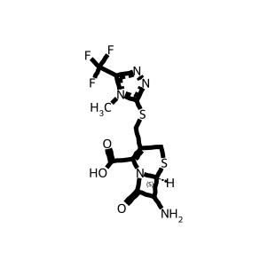 Cn1c(SCC2=C(C(=O)O)N3C(=O)C(N)[C@@H]3SC2)nnc1C(F)(F)F